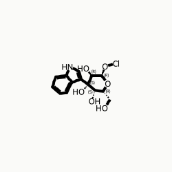 OC[C@H]1O[C@H](OCl)[C@H](O)[C@](O)(c2c[nH]c3ccccc23)[C@H]1O